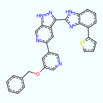 c1ccc(COc2cncc(-c3cc4c(-c5nc6c(-c7cccs7)cccc6[nH]5)n[nH]c4cn3)c2)cc1